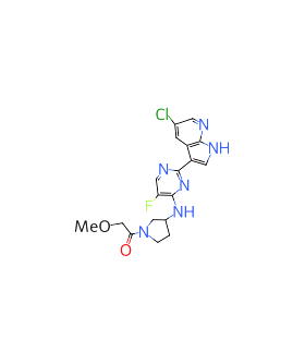 COCC(=O)N1CCC(Nc2nc(-c3c[nH]c4ncc(Cl)cc34)ncc2F)C1